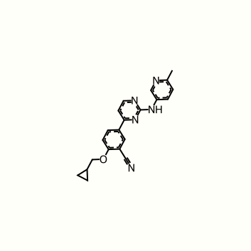 Cc1ccc(Nc2nccc(-c3ccc(OCC4CC4)c(C#N)c3)n2)cn1